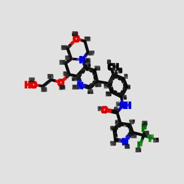 Cc1ccc(NC(=O)c2ccnc(C(F)(F)F)c2)cc1-c1cnc2c(c1)N1CCOCC1CC2OCCO